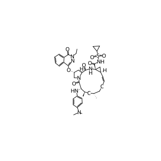 CCn1nc(O[C@@H]2C[C@H]3C(=O)N[C@]4(C(=O)NS(=O)(=O)C5CC5)C[C@H]4/C=C\CC[C@H](C)C[C@@H](C)[C@H](Nc4ccc(N(C)C)cc4)C(=O)N3C2)c2ccccc2c1=O